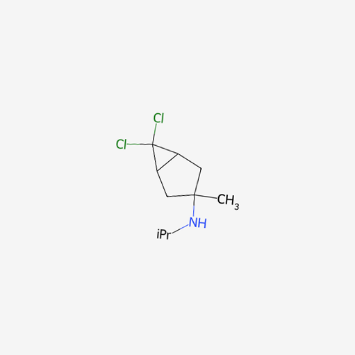 CC(C)NC1(C)CC2C(C1)C2(Cl)Cl